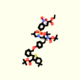 CCOC(=O)/C=C/c1cc(S(=O)(=O)N(CC(C)C)C[C@H]2OC(C)(C)N(C(=O)OC(C)(C)C)[C@H]2Cc2ccc(OCc3ccccc3-c3sc4c(c3C(=O)OC(C)(C)C)CC(C)(C)CC4)cc2)ccc1[N+](=O)[O-]